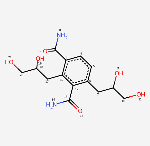 NC(=O)c1ccc(CC(O)CO)c(C(N)=O)c1CC(O)CO